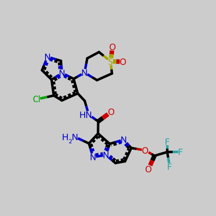 Nc1nn2ccc(OC(=O)C(F)(F)F)nc2c1C(=O)NCc1cc(Cl)c2cncn2c1N1CCS(=O)(=O)CC1